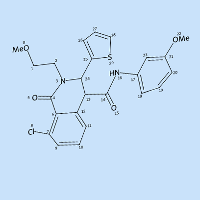 COCCN1C(=O)c2c(Cl)cccc2C(C(=O)Nc2cccc(OC)c2)C1c1cccs1